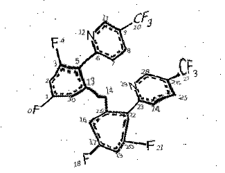 Fc1cc(F)c(-c2ccc(C(F)(F)F)cn2)c(Cc2cc(F)cc(F)c2-c2ccc(C(F)(F)F)cn2)c1